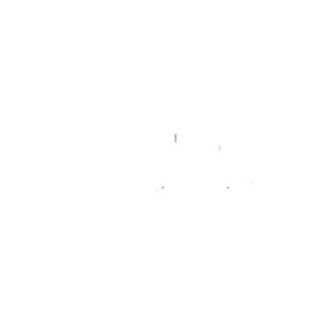 CCCCCOC(=O)C1C(C(O)S(=O)(=O)O)C1(C)C